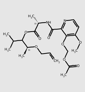 C=CCO[C@@H](C)C(OC(=O)[C@H](C)NC(=O)c1nccc(OC)c1OCOC(C)=O)C(C)C